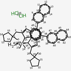 CC1(CC2=Cc3c(-c4ccc5ccccc5c4)cccc3[CH]2[Zr]([CH3])([CH3])(=[SiH2])[CH]2C(CC3(C)CCCC3)=Cc3c(-c4ccc5ccccc5c4)cccc32)CCCC1.Cl.Cl